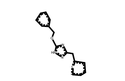 c1ccc(COc2nc(Cc3ccccc3)n[nH]2)cc1